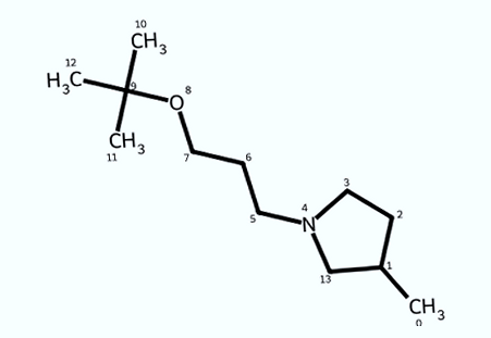 CC1CCN(CCCOC(C)(C)C)C1